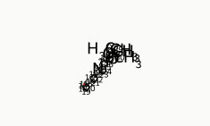 CC1(C)OB(c2ccc3nc(-c4ccc(-c5ccccc5)cc4)ccc3c2)OC1(C)C